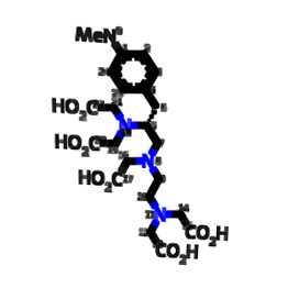 CNc1ccc(C[C@H](CN(CCN(CC(=O)O)CC(=O)O)CC(=O)O)N(CC(=O)O)CC(=O)O)cc1